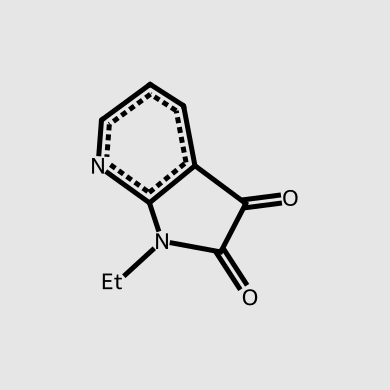 CCN1C(=O)C(=O)c2cccnc21